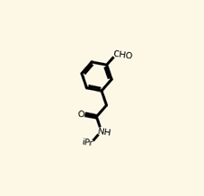 CC(C)NC(=O)Cc1cccc(C=O)c1